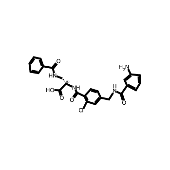 Nc1cccc(C(=O)NCc2ccc(C(=O)N[C@@H](CNC(=O)c3ccccc3)C(=O)O)c(Cl)c2)c1